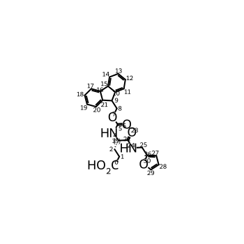 O=C(O)CC[C@H](NC(=O)OCC1c2ccccc2-c2ccccc21)C(=O)NCc1ccco1